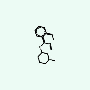 C=N/C(O[C@@H]1CCCN(C)C1)=c1/cccc/c1=C/C